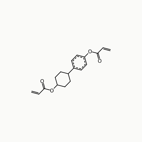 C=CC(=O)Oc1ccc(C2CCC(OC(=O)C=C)CC2)cc1